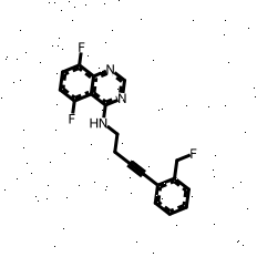 FCc1ccccc1C#CCCNc1ncnc2c(F)ccc(F)c12